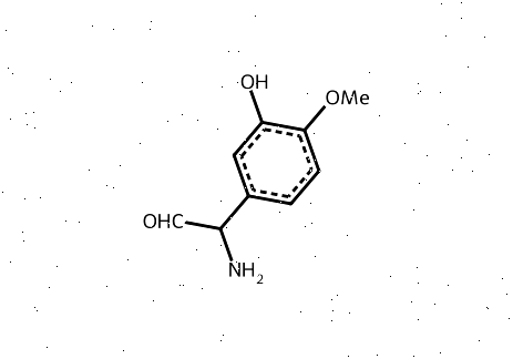 COc1ccc(C(N)C=O)cc1O